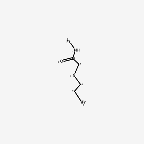 CCNC(=O)CSCCC(C)C